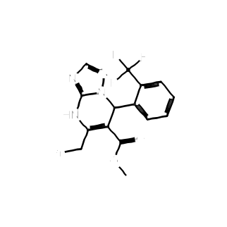 COC(=O)C1=C(CBr)Nc2ncnn2C1c1ccccc1C(F)(F)F